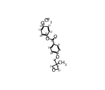 CC1(COc2ccc(C(=O)Oc3ccc(OC(F)(F)F)cc3)cc2)COC1